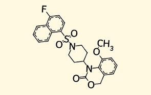 COc1cccc2c1N(C1CCN(S(=O)(=O)c3ccc(F)c4ccccc34)CC1)C(=O)OC2